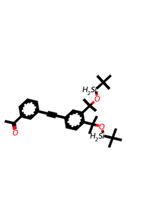 CC(=O)c1cccc(C#Cc2ccc(C(C)(C)O[SiH2]C(C)(C)C)c(C(C)(C)O[SiH2]C(C)(C)C)c2)c1